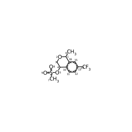 CC1OCC(OS(C)(=O)=O)c2ccc(C(F)(F)F)cc21